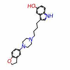 Oc1ccc2[nH]cc(CCCCN3CCN(c4ccc5c(c4)CCO5)CC3)c2c1